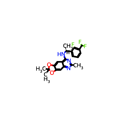 Cc1nc(N[C@H](C)c2cccc(C(F)F)c2F)c2cc3c(cc2n1)OC(C)(C)O3